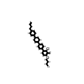 C=CCCc1ccc(C2CC=C(c3ccc(-c4ccc(OCCCC)c(F)c4Cl)cc3)CC2)cc1